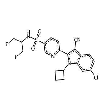 N#Cc1c(-c2ccc(S(=O)(=O)NC(CF)CF)cn2)n(C2CCC2)c2cc(Cl)ccc12